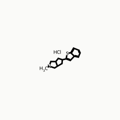 CN1CC2CC(c3cc4ccccc4s3)CC2C1.Cl